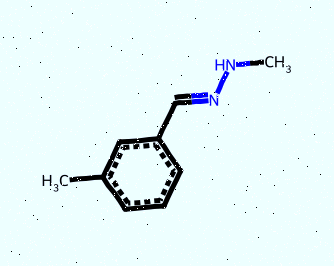 CN/N=C/c1cccc(C)c1